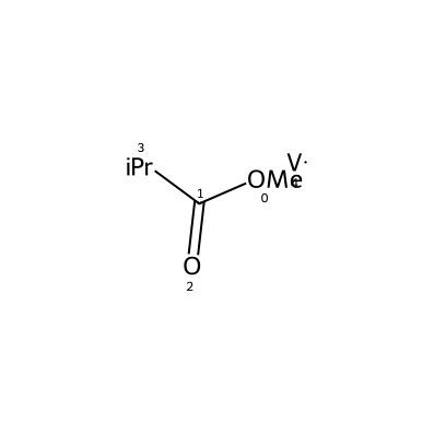 COC(=O)C(C)C.[V]